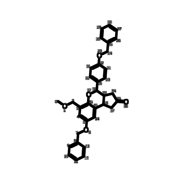 COCc1cc(OCc2ccccc2)cc2c1OC(c1ccc(OCc3ccccc3)cc1)C1CC(=O)CC21